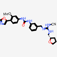 COc1cc(NC(=O)Nc2cccc(C/N=C(\NC#N)NC[C@@H]3CCCO3)c2)ccc1-c1cnco1